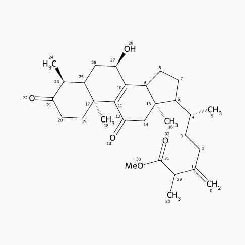 C=C(CC[C@@H](C)C1CCC2C3=C(C(=O)C[C@@]21C)[C@@]1(C)CCC(=O)[C@@H](C)C1C[C@H]3O)C(C)C(=O)OC